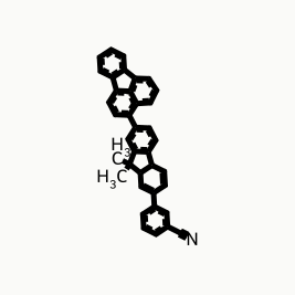 CC1(C)c2cc(-c3ccc4c5c(cccc35)-c3ccccc3-4)ccc2C2C=CC(c3cccc(C#N)c3)=CC21